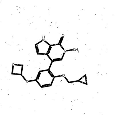 Cn1cc(-c2cc(SC3COC3)ccc2OCC2CC2)c2cc[nH]c2c1=O